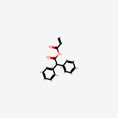 C=CC(=O)OC(=O)C(c1ccccc1)c1ccccc1